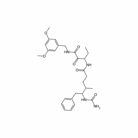 CCC(NC(=O)CCC(C)C(Cc1ccccc1)NC(N)=O)C(=O)C(=O)NCc1cc(OC)cc(OC)c1